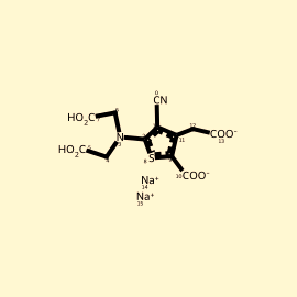 N#Cc1c(N(CC(=O)O)CC(=O)O)sc(C(=O)[O-])c1CC(=O)[O-].[Na+].[Na+]